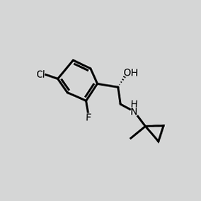 CC1(NC[C@@H](O)c2ccc(Cl)cc2F)CC1